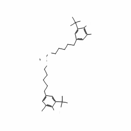 Cc1cc(CCCCCO[PH](=O)OCCCCCc2cc(C)c(O)c(C(C)(C)C)c2)cc(C(C)(C)C)c1O